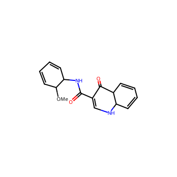 COC1C=CC=CC1NC(=O)C1=CNC2C=CC=CC2C1=O